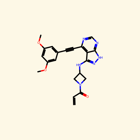 C=CC(=O)N1CC(Nc2n[nH]c3ncnc(C#Cc4cc(OC)cc(OC)c4)c23)C1